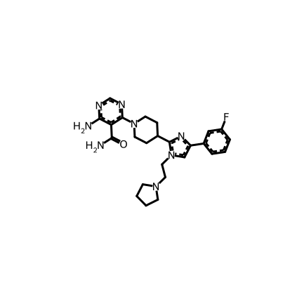 NC(=O)c1c(N)ncnc1N1CCC(c2nc(-c3cccc(F)c3)cn2CCN2CCCC2)CC1